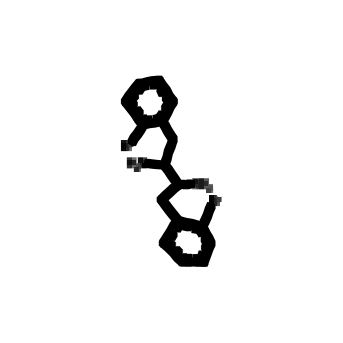 NC(Cc1ccccc1Br)C(N)Cc1ccccc1Br